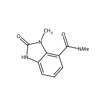 CNC(=O)c1cccc2[nH]c(=O)n(C)c12